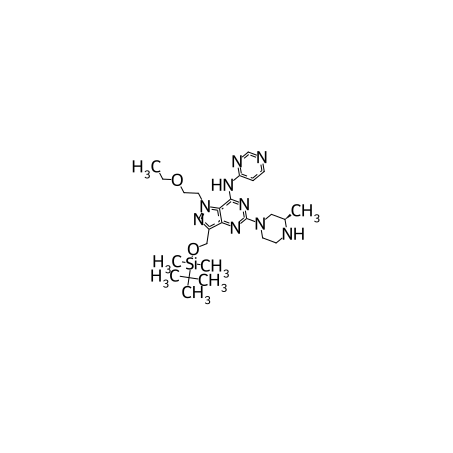 CCOCCn1nc(CO[Si](C)(C)C(C)(C)C)c2nc(N3CCN[C@H](C)C3)nc(Nc3ccncn3)c21